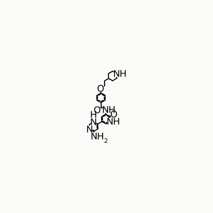 NC1=NCNC(c2c[nH]c(=O)c(NC(=O)c3ccc(OCCC4CCNCC4)cc3)c2)=C1